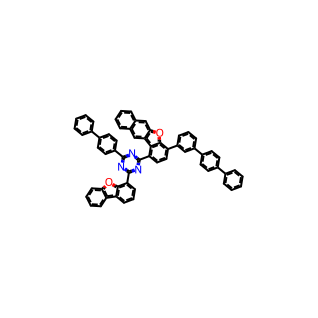 c1ccc(-c2ccc(-c3cccc(-c4ccc(-c5nc(-c6ccc(-c7ccccc7)cc6)nc(-c6cccc7c6oc6ccccc67)n5)c5c4oc4cc6ccccc6cc45)c3)cc2)cc1